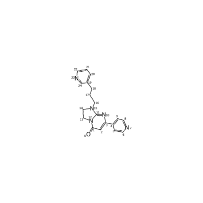 O=c1cc(-c2ccncc2)nc2n1CCN2CCCc1cccnc1